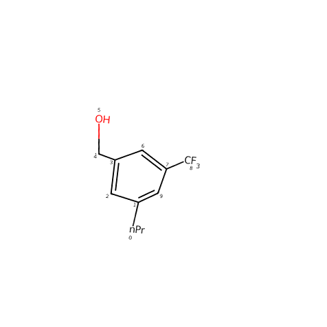 CCCc1cc([CH]O)cc(C(F)(F)F)c1